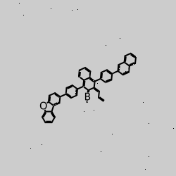 C=C/C=c1/c(-c2ccc(-c3ccc4ccccc4c3)cc2)c2ccccc2c(-c2ccc(-c3ccc4oc5ccccc5c4c3)cc2)/c1=B/C